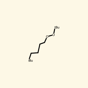 CCC(C)CCCCOOC(C)(C)C